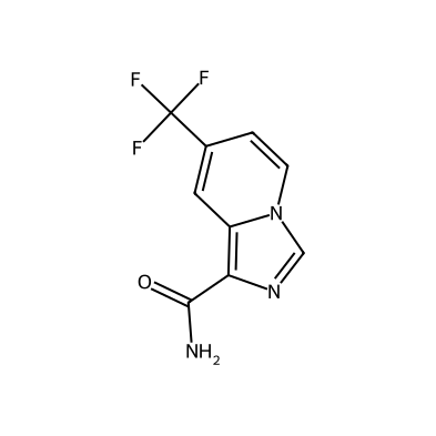 NC(=O)c1ncn2ccc(C(F)(F)F)cc12